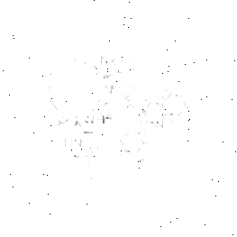 CC1(S(=O)(=O)NC(=O)[C@@]23C[C@H]2C=CCCCCC[C@H](NC(=O)O)C(=O)N2C[C@@]4(CCc5c(c(-c6cccc(F)c6)nc6ccccc56)O4)C[C@H]2C(=O)N3)CC1